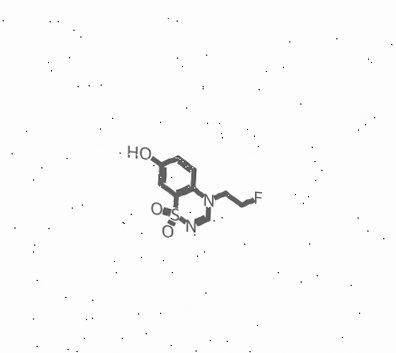 O=S1(=O)N=CN(CCF)c2ccc(O)cc21